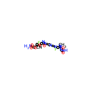 Cn1nc(N2CCC(=O)NC2=O)c2cc(F)c(N3CC4(CC(N5CCC6(CC5)CC(n5cnc7ccc(Oc8c(F)ccc(C9CC(S(N)(=O)=O)CCO9)c8C#N)cc7c5=O)C6)C4)C3)cc21